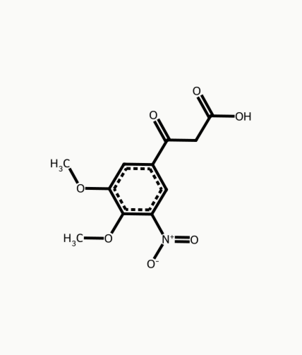 COc1cc(C(=O)CC(=O)O)cc([N+](=O)[O-])c1OC